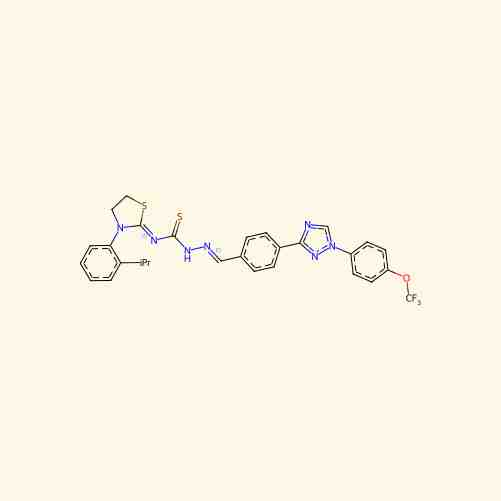 CC(C)c1ccccc1N1CCS/C1=N\C(=S)N/N=C/c1ccc(-c2ncn(-c3ccc(OC(F)(F)F)cc3)n2)cc1